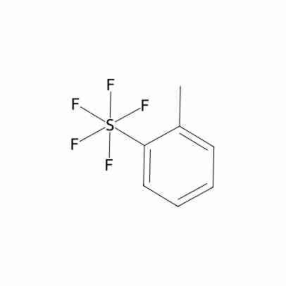 Cc1ccccc1S(F)(F)(F)(F)F